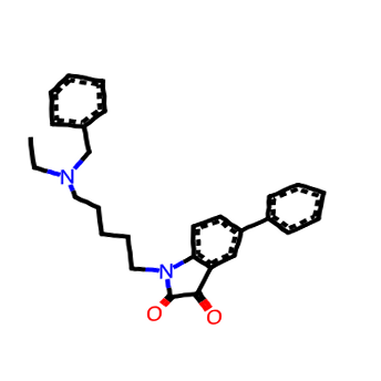 CCN(CCCCCN1C(=O)C(=O)c2cc(-c3ccccc3)ccc21)Cc1ccccc1